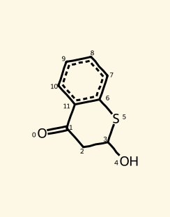 O=C1CC(O)Sc2ccccc21